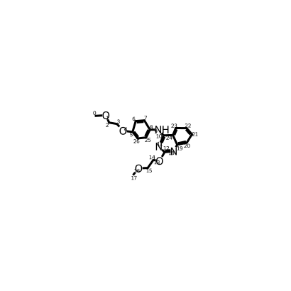 COCCOc1ccc(Nc2nc(OCCOC)nc3ccccc23)cc1